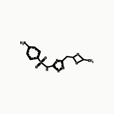 CC1OC(Cc2nnc(NS(=O)(=O)c3ccc(N)cc3)s2)O1